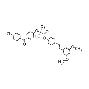 COc1cc(C=Cc2ccc(OC(=O)C(C)(C)Oc3ccc(C(=O)c4ccc(Cl)cc4)cc3)cc2)cc(OC)c1